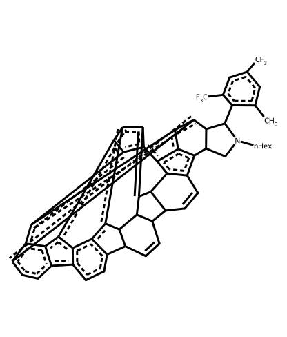 CCCCCCN1CC2c3c4c5c6c3c3c(c7ccc8c9ccc%10c%11c%12c%13c(c6c6c%13c(c%119)c8c7c36)=C3C5C(C=C4)C4C=CC%10C%12C34)C2C1c1c(C)cc(C(F)(F)F)cc1C(F)(F)F